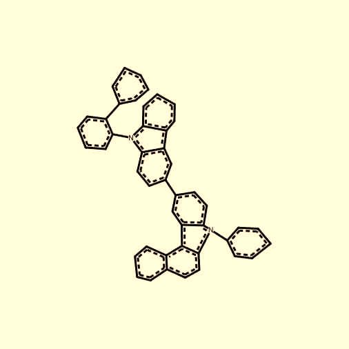 c1ccc(-c2ccccc2-n2c3ccccc3c3cc(-c4ccc5c(c4)c4c6ccccc6ccc4n5-c4ccccc4)ccc32)cc1